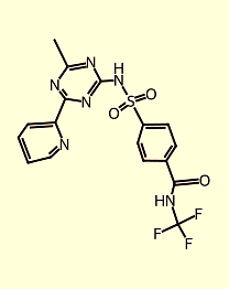 Cc1nc(NS(=O)(=O)c2ccc(C(=O)NC(F)(F)F)cc2)nc(-c2ccccn2)n1